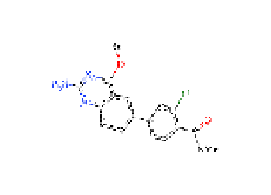 CCOc1nc(N)nc2ccc(-c3ccc(C(=O)NC)c(Cl)c3)cc12